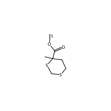 CCOC(=O)C1(C)CCS[CH]S1